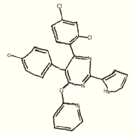 Clc1ccc(-c2c(Oc3ccccn3)nc(-c3ccc[nH]3)nc2-c2ccc(Cl)cc2Cl)cc1